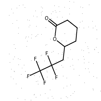 O=C1CCCC(CC(F)(F)C(F)(F)F)O1